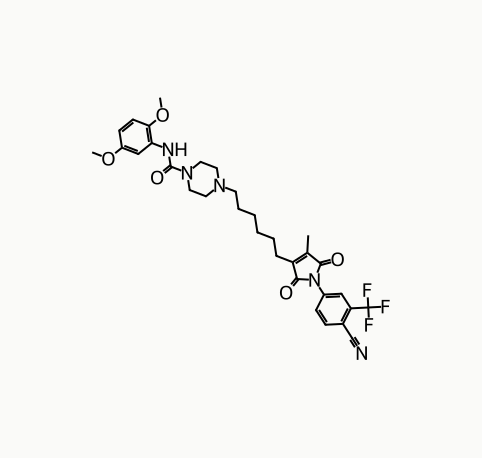 COc1ccc(OC)c(NC(=O)N2CCN(CCCCCCC3=C(C)C(=O)N(c4ccc(C#N)c(C(F)(F)F)c4)C3=O)CC2)c1